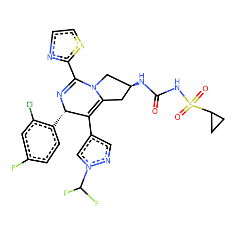 O=C(N[C@H]1CC2=C(c3cnn(C(F)F)c3)[C@H](c3ccc(F)cc3Cl)N=C(c3nccs3)N2C1)NS(=O)(=O)C1CC1